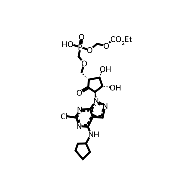 CCOC(=O)OCOP(=O)(O)COC[C@H]1C(=O)[C@H](n2ncc3c(NC4CCCC4)nc(Cl)nc32)[C@@H](O)[C@H]1O